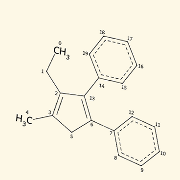 CCC1=C(C)CC(c2ccccc2)=C1c1ccccc1